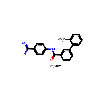 CS(=O)(=O)O.N=C(N)c1ccc(NC(=O)c2cccc(-c3ccccc3C(=O)O)c2)cc1